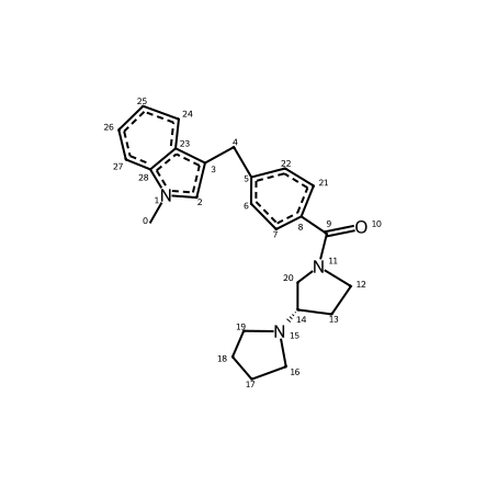 Cn1cc(Cc2ccc(C(=O)N3CC[C@H](N4CCCC4)C3)cc2)c2ccccc21